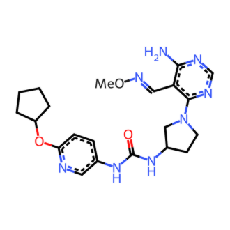 CON=Cc1c(N)ncnc1N1CCC(NC(=O)Nc2ccc(OC3CCCC3)nc2)C1